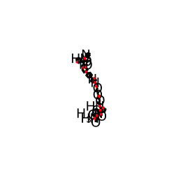 C[C@]1(N2C(=O)c3cccc(NCCOCCOCCOCCN4CCN(c5ccc(-c6ccc7c(c6)C(=O)N(C(C(=O)Nc6nccs6)c6ccccc6)C7)cc5)CC4)c3C2=O)CCC(=O)NC1=O